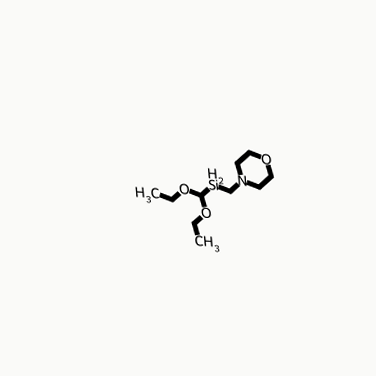 CCOC(OCC)[SiH2]CN1CCOCC1